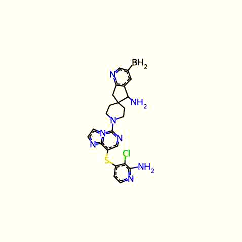 Bc1cnc2c(c1)C(N)C1(CCN(c3ncc(Sc4ccnc(N)c4Cl)c4nccn34)CC1)C2